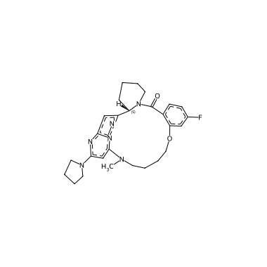 CN1CCCCOc2cc(F)ccc2C(=O)N2CCCC[C@H]2c2cc3nc(N4CCCC4)cc1n3n2